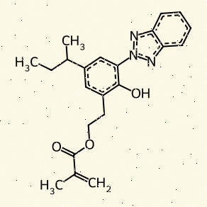 C=C(C)C(=O)OCCc1cc(C(C)CC)cc(-n2nc3ccccc3n2)c1O